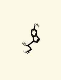 C#CCC(O)C1C=Cc2cc(C)ccc21